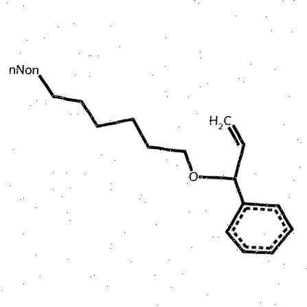 C=CC(OCCCCCCCCCCCCCCC)c1ccccc1